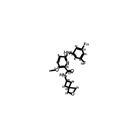 COc1ccc(Nc2cc(F)cc(F)c2)nc1C(=O)NC1CC2(COC2)C1